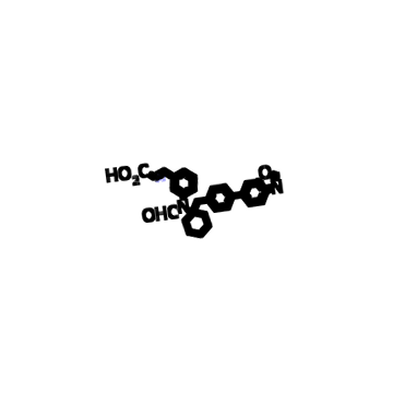 O=CN(c1cccc(/C=C/C(=O)O)c1)C1(Cc2ccc(-c3ccc4ncoc4c3)cc2)CCCCC1